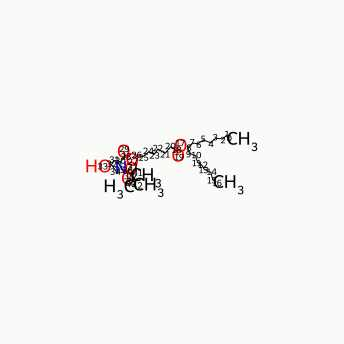 CCCCCCCCC(CCCCCCCC)OC(=O)CCCCCCCOC(=O)[C@@H]1C[C@H](O)CN1C(=O)OC(C)(C)C